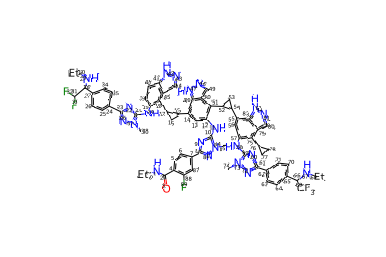 CCNC(=O)c1ccc(-c2nc(Nc3cc(C4CC4c4c(Nc5nc(-c6ccc(C(NCC)C(F)F)cc6)nn5C)ccc5[nH]ncc45)c4[nH]ncc4c3C3CC3c3cc(Nc4nc(-c5ccc(C(NCC)C(F)(F)F)cc5)nn4C)c(C4CC4)c4cn[nH]c34)n(C)n2)cc1F